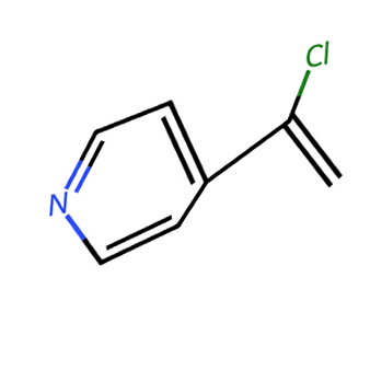 C=C(Cl)c1ccncc1